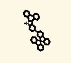 Cn1c2ccc(-c3ccc4c(c3)C3(c5ccccc5-c5ccccc53)c3ccccc3-4)cc2c2c3ccccc3c3ccccc3c21